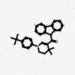 CC1(C)CCN(c2ccc(C(C)(C)C)cc2)C=C1C(=O)C1c2ccccc2-c2ccccc21